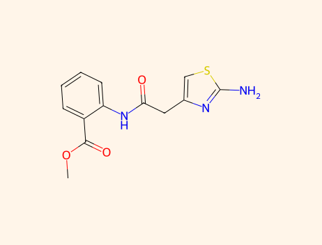 COC(=O)c1ccccc1NC(=O)Cc1csc(N)n1